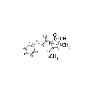 CC[C@@H]1CC(C)(C)C(=O)N1C(=O)CCc1ccccc1